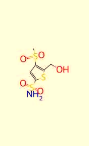 CS(=O)(=O)c1cc(S(N)(=O)=O)sc1CO